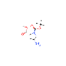 COC(=O)[C@H]1C[C@@H](N)CN1C(=O)OC(C)(C)C